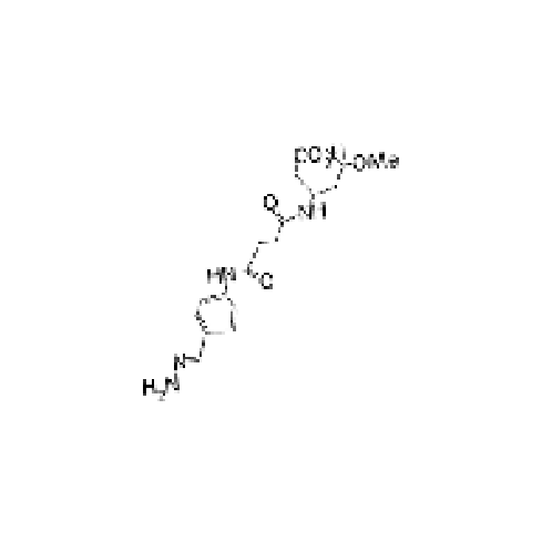 COC(C)CC(CC(=O)O)NC(=O)CCC(=O)Nc1ccc(C=NN)cc1